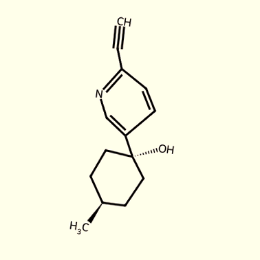 C#Cc1ccc([C@]2(O)CC[C@H](C)CC2)cn1